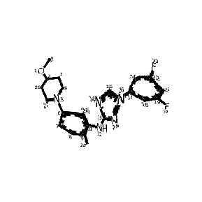 COC1CCN(c2ccc(C)c(Nc3ncn(-c4cc(F)cc(F)c4)n3)c2)CC1